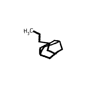 CCCC12C[C]3CC(CC(C3)C1)C2